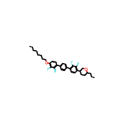 CCCCCCCCOc1ccc(-c2ccc(-c3ccc(C4CCC(CCC)OC4)c(F)c3F)cc2)c(F)c1F